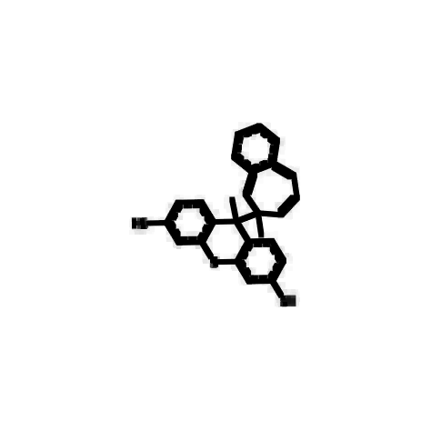 CC1(C2(C)c3ccc(S)cc3Sc3cc(S)ccc32)C=CC=c2ccccc2=C1